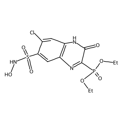 CCOP(=O)(OCC)c1nc2cc(S(=O)(=O)NO)c(Cl)cc2[nH]c1=O